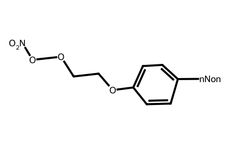 CCCCCCCCCc1ccc(OCCOO[N+](=O)[O-])cc1